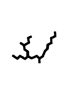 CCCCC=CCCC(C)CCC(=CCC(C)CCC)CCCC